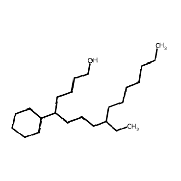 CCCCCCCC(CC)CCCC(CCCCO)C1CCCCC1